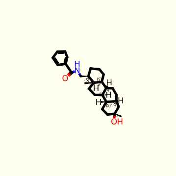 C[C@@]1(O)CC[C@H]2[C@H](CC[C@@H]3[C@@H]2CC[C@]2(C)[C@@H](CNC(=O)c4ccccc4)CCC[C@@H]32)C1